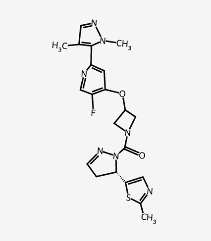 Cc1ncc([C@@H]2CC=NN2C(=O)N2CC(Oc3cc(-c4c(C)cnn4C)ncc3F)C2)s1